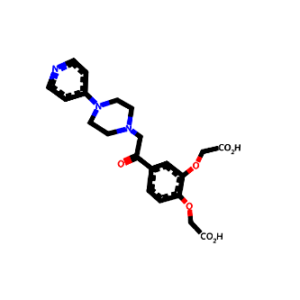 O=C(O)COc1ccc(C(=O)CN2CCN(c3ccncc3)CC2)cc1OCC(=O)O